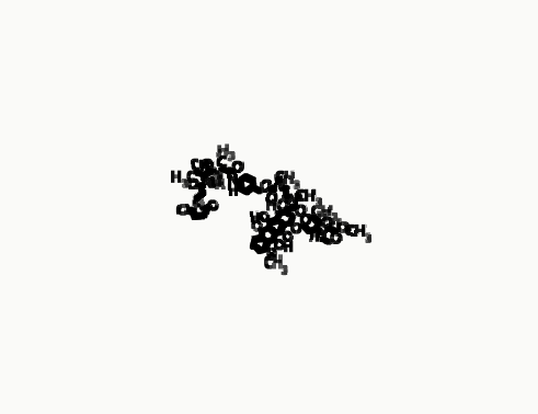 COc1cccc2c1C(=O)c1c(O)c3c(c(O)c1C2=O)C[C@@](O)(C(=O)N(C)CCN(C)C(=O)OCc1ccc(NC(=O)[C@H](C)NC(=O)[C@@H](NC(=O)CCN2C(=O)C=CC2=O)C(C)C)cc1)C[C@@H]3O[C@H]1C[C@H]2[C@H](O[C@@H]3[C@@H](OC)OCCN32)[C@H](C)O1